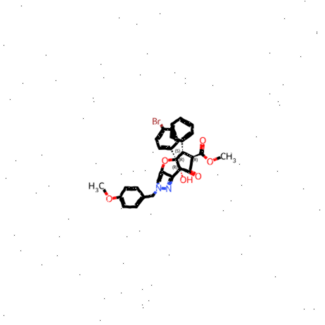 COC(=O)[C@H]1C(=O)[C@@]2(O)c3nn(Cc4ccc(OC)cc4)cc3O[C@@]2(c2ccc(Br)cc2)[C@@H]1c1ccccc1